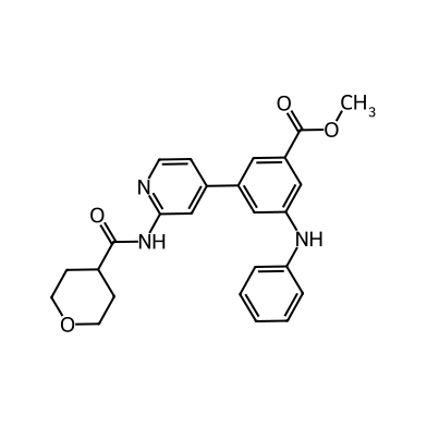 COC(=O)c1cc(Nc2ccccc2)cc(-c2ccnc(NC(=O)C3CCOCC3)c2)c1